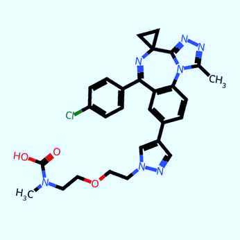 Cc1nnc2n1-c1ccc(-c3cnn(CCOCCN(C)C(=O)O)c3)cc1C(c1ccc(Cl)cc1)=NC21CC1